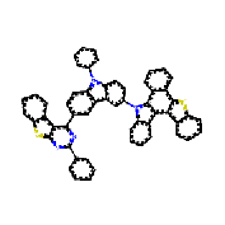 c1ccc(-c2nc(-c3ccc4c(c3)c3cc(-n5c6ccccc6c6c7c8ccccc8sc7c7ccccc7c65)ccc3n4-c3ccccc3)c3c(n2)sc2ccccc23)cc1